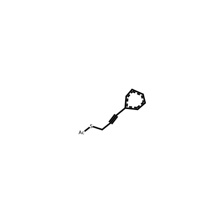 CC(=O)SCC#Cc1ccccc1